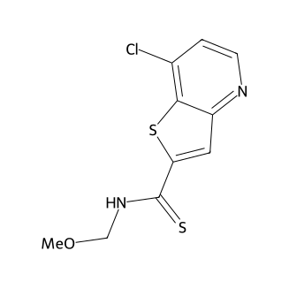 COCNC(=S)c1cc2nccc(Cl)c2s1